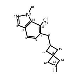 Cn1ncc2ccc(CC3CC4(CNC4)C3)c(Cl)c21